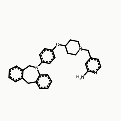 Nc1cc(CN2CCC(Oc3ccc(N4Cc5ccccc5Cc5ccccc54)cc3)CC2)ccn1